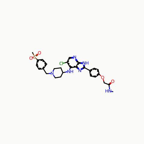 CNC(=O)COc1ccc(-c2nc3c(NC4CCN(Cc5ccc(S(C)(=O)=O)cc5)CC4)c(Cl)cnc3[nH]2)cc1